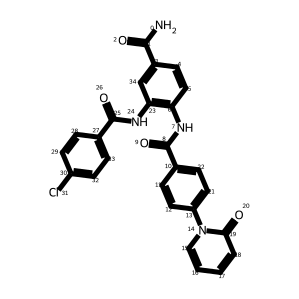 NC(=O)c1ccc(NC(=O)c2ccc(-n3ccccc3=O)cc2)c(NC(=O)c2ccc(Cl)cc2)c1